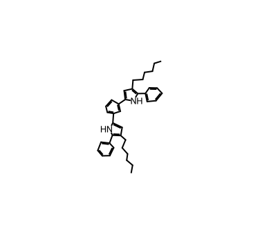 CCCCCCc1cc(-c2cccc(-c3cc(CCCCCC)c(-c4ccccc4)[nH]3)c2)[nH]c1-c1ccccc1